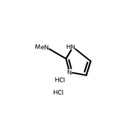 CNc1ncc[nH]1.Cl.Cl